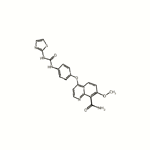 COc1ccc2c(Oc3ccc(NC(=O)Nc4nccs4)cc3)ccnc2c1C(N)=O